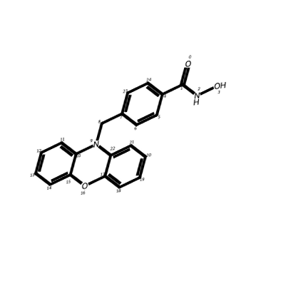 O=C(NO)c1ccc(CN2c3ccccc3Oc3ccccc32)cc1